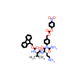 CC(C)[C@H](NC(=O)OCC1c2ccccc2-c2ccccc21)C(=O)N[C@@H](CCCN)C(=O)N(C(N)=O)c1ccc(COC(=O)Oc2ccc([N+](=O)[O-])cc2)cc1